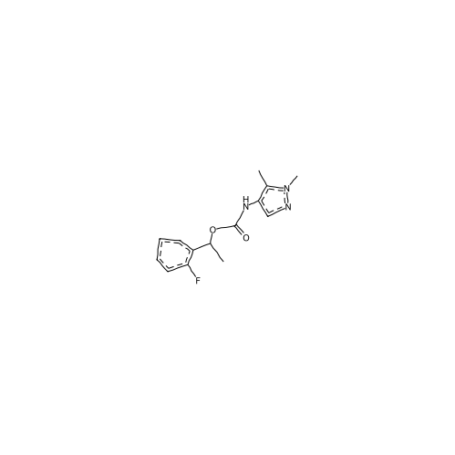 Cc1c(NC(=O)OC(C)c2ccccc2F)cnn1C